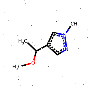 COC(C)c1cnn(C)c1